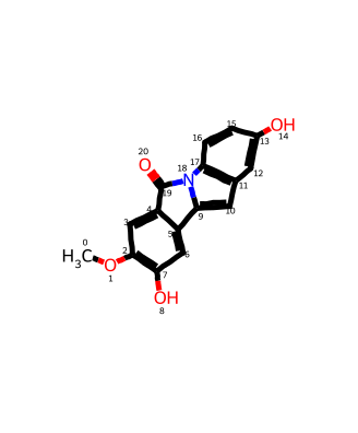 COc1cc2c(cc1O)-c1cc3cc(O)ccc3n1C2=O